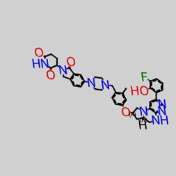 Cc1cc(O[C@@H]2C[C@@H]3CNc4nnc(-c5cccc(F)c5O)cc4N3C2)ccc1CN1CCN(c2ccc3c(c2)C(=O)N(C2CCC(=O)NC2=O)C3)CC1